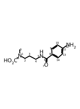 CN(CCCNC(=O)c1ccc(N)cc1)C(=O)O